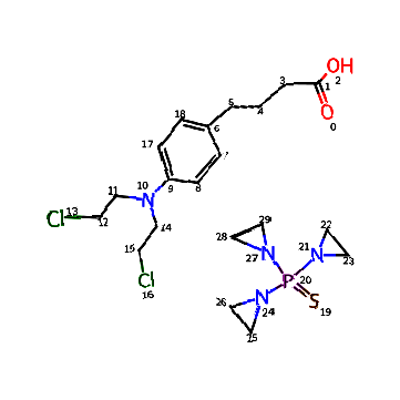 O=C(O)CCCc1ccc(N(CCCl)CCCl)cc1.S=P(N1CC1)(N1CC1)N1CC1